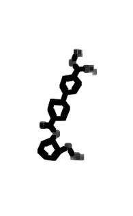 CCCCOc1ccccc1OC(=O)c1ccc(-c2ccc(C(C)OCC)cc2)cc1